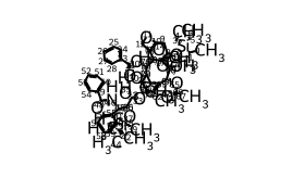 CC[Si](CC)(CC)OC1CC2OC[C@@]2(OC(C)=O)[C@H]2[C@H](OC(=O)c3ccccc3)[C@]3(O)C[C@H](OC(=O)[C@H](O[Si](C)(C)C(C)(C)C)[C@@H](NC(=O)c4ccccc4)c4ccccc4)C(C)=C([C@H](OC(C)=O)[C@H](O)[C@]12C)C3(C)C